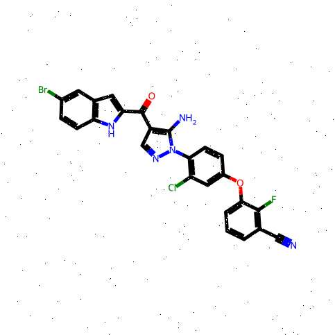 N#Cc1cccc(Oc2ccc(-n3ncc(C(=O)c4cc5cc(Br)ccc5[nH]4)c3N)c(Cl)c2)c1F